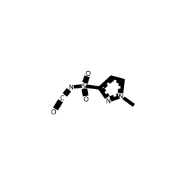 Cn1ccc(S(=O)(=O)N=C=O)n1